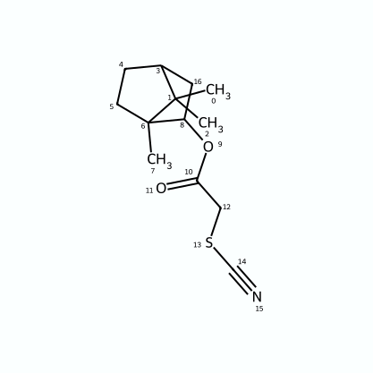 CC1(C)C2CCC1(C)C(OC(=O)CSC#N)C2